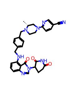 C[C@@H]1CN(c2ccc(C#N)cn2)CCN1Cc1ccc(CNc2cccc3ncn(C4CCC(=O)NC4=O)c(=O)c23)cc1